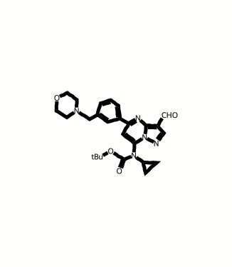 CC(C)(C)OC(=O)N(c1cc(-c2cccc(CN3CCOCC3)c2)nc2c(C=O)cnn12)C1CC1